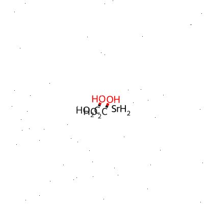 O=C(O)O.O=C(O)O.[SrH2]